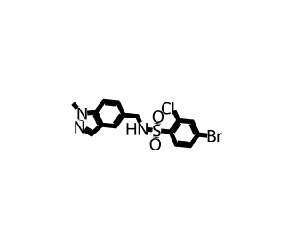 Cn1ncc2cc(CNS(=O)(=O)c3ccc(Br)cc3Cl)ccc21